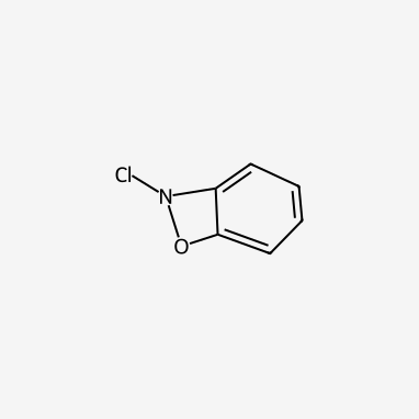 Cln1oc2ccccc21